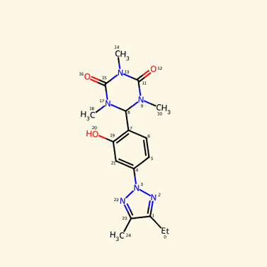 CCc1nn(-c2ccc(C3N(C)C(=O)N(C)C(=O)N3C)c(O)c2)nc1C